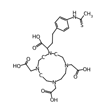 CC(=S)Nc1ccc(CCC(C(=O)O)N2CCN(CC(=O)O)CCN(CC(=O)O)CCN(CC(=O)O)CC2)cc1